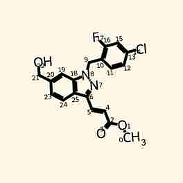 COC(=O)C=Cc1nn(Cc2ccc(Cl)cc2F)c2cc(CO)ccc12